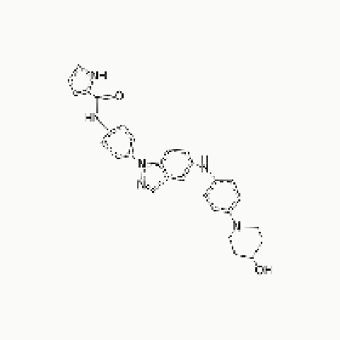 O=C(Nc1ccc(-n2ncc3cc(Nc4ccc(N5CCC(O)CC5)cc4)ccc32)cc1)c1ccc[nH]1